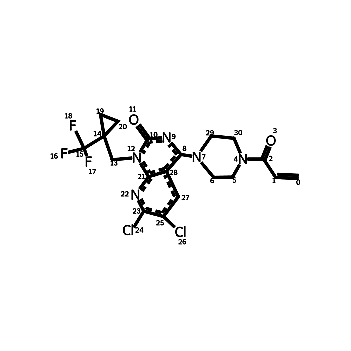 C=CC(=O)N1CCN(c2nc(=O)n(CC3(C(F)(F)F)CC3)c3nc(Cl)c(Cl)cc23)CC1